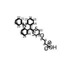 O=S(=O)(O)CCCOC1CSC(=C2c3ccccc3N(c3ccccc3)c3ccccc32)SC1